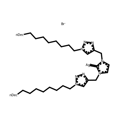 CCCCCCCCCCCCCCCCCCn1cc(Cn2ccn(Cc3cn(CCCCCCCCCCCCCCCCCC)nn3)[c]2=[Ag+])nn1.[Br-]